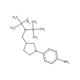 C[Si](C)(C)N(CC1CCN(c2ccc(N)cc2)C1)[Si](C)(C)C